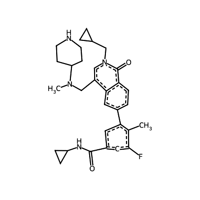 Cc1c(F)cc(C(=O)NC2CC2)cc1-c1ccc2c(=O)n(CC3CC3)cc(CN(C)C3CCNCC3)c2c1